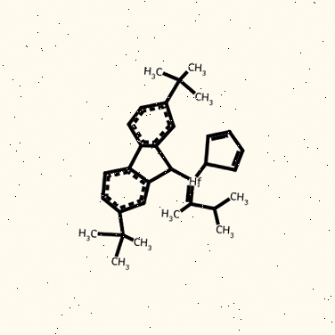 C[C](C(C)C)=[Hf]([CH]1C=CC=C1)[CH]1c2cc(C(C)(C)C)ccc2-c2ccc(C(C)(C)C)cc21